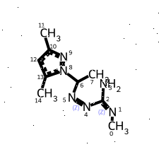 C/N=C(N)\N=N/C(C)n1nc(C)cc1C